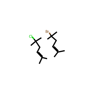 CC(C)=CCC(C)(C)Br.CC(C)=CCC(C)(C)Cl